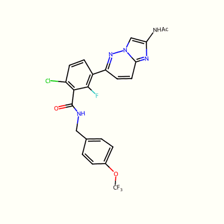 CC(=O)Nc1cn2nc(-c3ccc(Cl)c(C(=O)NCc4ccc(OC(F)(F)F)cc4)c3F)ccc2n1